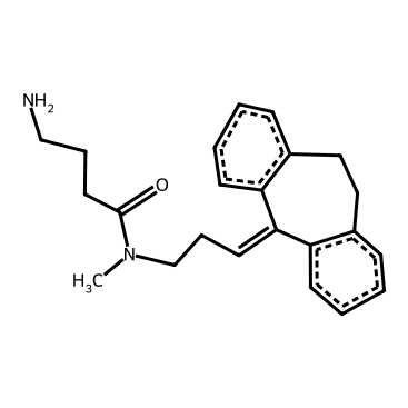 CN(CCC=C1c2ccccc2CCc2ccccc21)C(=O)CCCN